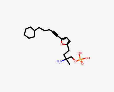 CC(N)(CCc1ccc(C#CCCCC2CCCCC2)o1)COP(=O)(O)O